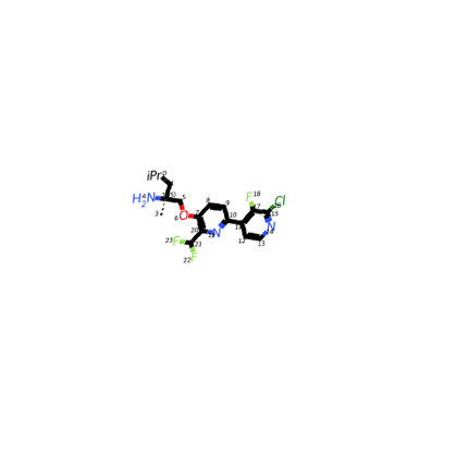 CC(C)C[C@](C)(N)COc1ccc(-c2ccnc(Cl)c2F)nc1C(F)F